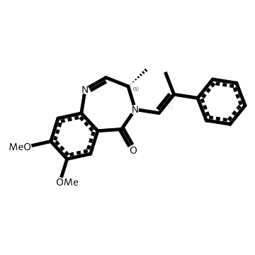 COc1cc2c(cc1OC)C(=O)N(/C=C(\C)c1ccccc1)[C@@H](C)C=N2